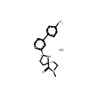 CN1CC[C@@]2(CC[C@@H](c3cc(-c4ccc(C(F)(F)F)cc4)ccn3)N2)C1=O.Cl